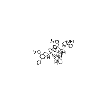 O=C(CO)C(C[C@@H]1CCNC1=O)NC(=O)[C@@H]1[C@H]2CCC[C@H]2CN1C(=O)C1=Nc2cc(Cl)cc(OC3CC3)c2C1